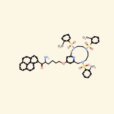 NC(CCCCOc1cc2nc(c1)CN(S(=O)(=O)c1ccccc1[N+](=O)[O-])CCN(S(=O)(=O)c1ccccc1[N+](=O)[O-])CCCN(S(=O)(=O)c1ccccc1[N+](=O)[O-])C2)C(=O)c1ccc2ccc3cccc4ccc1c2c34